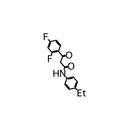 CCc1ccc(NC(=O)CC(=O)c2ccc(F)cc2F)cc1